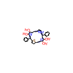 OC1C2=NC(=C\C3CC=C(S3)/C(c3ccccc3)=C3N=C(/C=c4/cc/c([nH]4)=C/2c2ccccc2)C(O)C\3O)/C1O